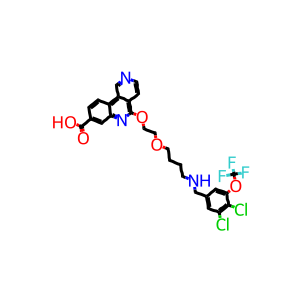 O=C(O)c1ccc2c(c1)nc(OCCOCCCCNCc1cc(Cl)c(Cl)c(OC(F)(F)F)c1)c1ccncc12